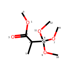 COC(=O)C(C)[Si](OC)(OC)OC